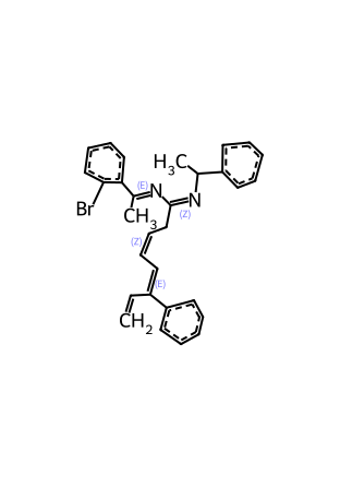 C=C/C(=C\C=C/CC(=N/C(C)c1ccccc1)/N=C(\C)c1ccccc1Br)c1ccccc1